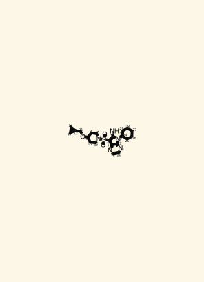 Nc1c(S(=O)(=O)N2CCC(OCC3CC3)CC2)c2nccnc2n1C1CCCCC1